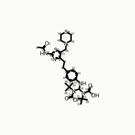 CC(=O)Nc1nc(CCc2ccc(NC(N(C(=O)O)C(C)(C)C)N(C(=O)O)C(C)(C)C)cc2)c(CN2CCSCC2)s1